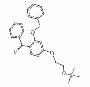 C[Si](C)(C)OCCOc1ccc(C(=O)c2ccccc2)c(OCc2ccccc2)c1